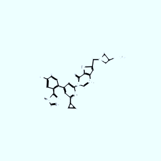 COC1CN(Cc2cc3ncn(-c4cc(-c5ccc(F)cc5-c5nncn5C)cc(C5CC5)n4)c(=O)c3[nH]2)C1